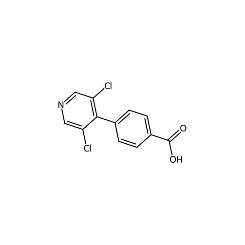 O=C(O)c1ccc(-c2c(Cl)cncc2Cl)cc1